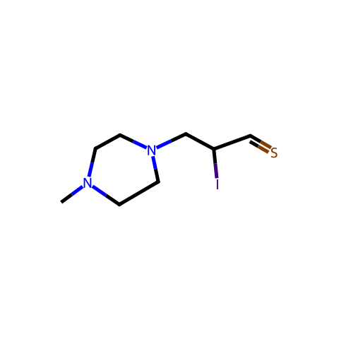 CN1CCN(CC(I)C=S)CC1